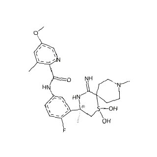 COc1cnc(C(=O)Nc2ccc(F)c([C@]3(C)CS(O)(O)C4(CCN(C)CC4)C(=N)N3)c2)c(C)c1